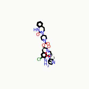 Nc1c(Cl)cc(C[C@@H](OC(=O)N2CCC(N3CCc4ccccc4NC3=O)CC2)C(=O)N2CCN(C3CN4CCC3CC4)CC2)cc1C(F)(F)F